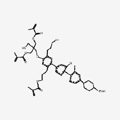 C=C(C)C(=O)OCCCc1cc(OCC(CS)(COC(=O)C(=C)C)COC(=O)C(=C)C)c(CCCS)cc1-c1ccc(-c2ccc(C3CCC(CCCCC)CC3)cc2F)c(CC)c1